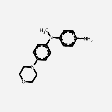 CN(c1ccc(N)cc1)c1ccc(N2CCOCC2)cc1